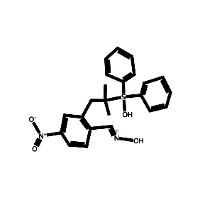 CC(C)(Cc1cc([N+](=O)[O-])ccc1/C=N/O)[Si](O)(c1ccccc1)c1ccccc1